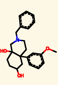 COc1cccc(C23CCN(Cc4ccccc4)CC2(O)CCC(O)C3)c1